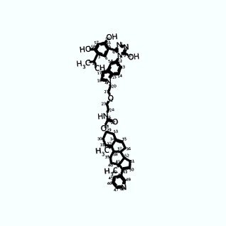 CC(C)c1cc(-c2nnc(O)n2-c2ccc3c(ccn3CCOCCNC(=O)OC3CCC4(C)C(=CCC5C4CCC4(C)C(c6cccnc6)=CCC54)C3)c2)c(O)cc1O